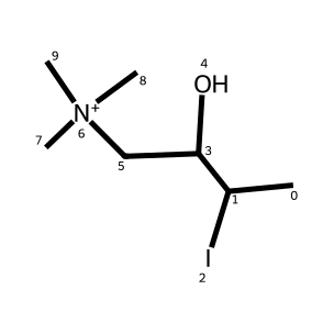 CC(I)C(O)C[N+](C)(C)C